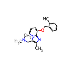 Cc1nc2c(OCc3ccccc3C#N)cccn2c1CN(C)C